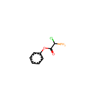 O=C(Oc1ccccc1)C(P)Cl